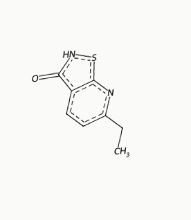 CCc1ccc2c(=O)[nH]sc2n1